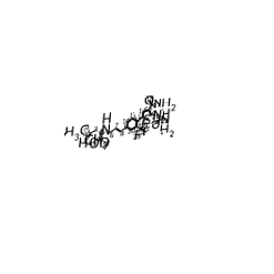 CC(C)C[C@H](NCC=Cc1ccc(-c2cc(C(N)=O)c(NC(N)=O)s2)c(C(F)(F)F)c1)C(=O)O